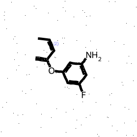 C=C(/C=C\C)Oc1cc(N)cc(F)c1